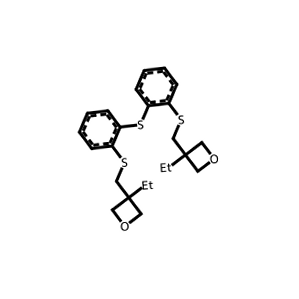 CCC1(CSc2ccccc2Sc2ccccc2SCC2(CC)COC2)COC1